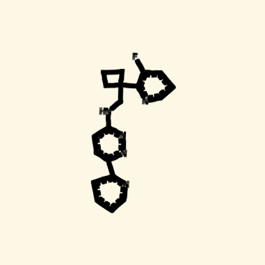 Fc1cccnc1C1(CNc2ccc(-c3ccccn3)nn2)CCC1